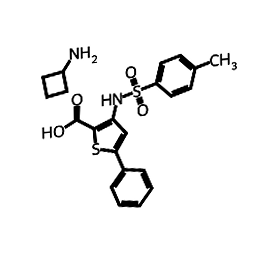 Cc1ccc(S(=O)(=O)Nc2cc(-c3ccccc3)sc2C(=O)O)cc1.NC1CCC1